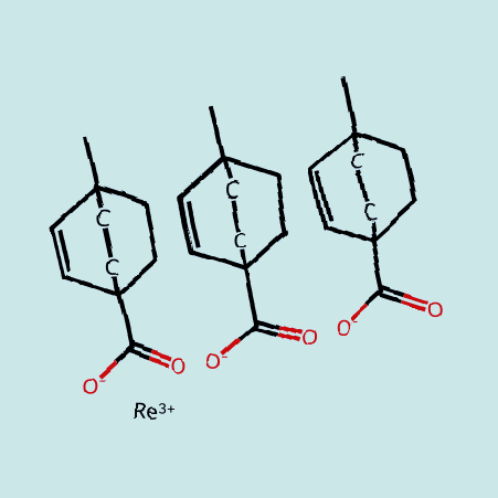 CC12C=CC(C(=O)[O-])(CC1)CC2.CC12C=CC(C(=O)[O-])(CC1)CC2.CC12C=CC(C(=O)[O-])(CC1)CC2.[Re+3]